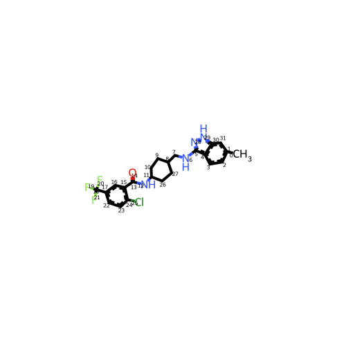 Cc1ccc2c(NCC3CCC(NC(=O)c4cc(C(F)(F)F)ccc4Cl)CC3)n[nH]c2c1